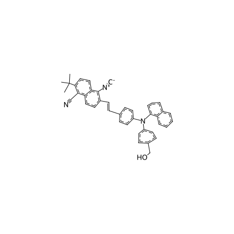 [C-]#[N+]c1c(C=Cc2ccc(N(c3ccc(CO)cc3)c3cccc4ccccc34)cc2)ccc2c(C#N)c(C(C)(C)C)ccc12